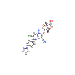 N#Cc1c(O[C@@H]2CO[C@H]3[C@@H]2OC[C@H]3O)[nH]c2cc(Cl)c(-c3ccc(-n4cccn4)cc3)nc12